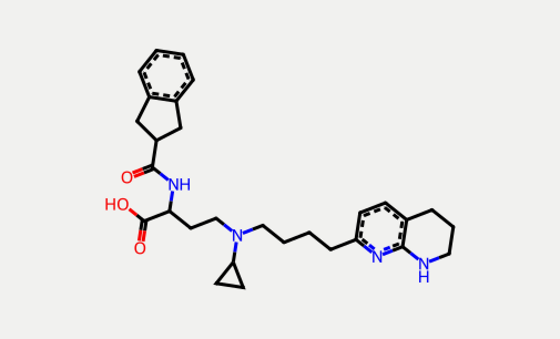 O=C(NC(CCN(CCCCc1ccc2c(n1)NCCC2)C1CC1)C(=O)O)C1Cc2ccccc2C1